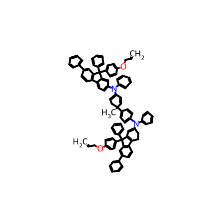 C=CCOc1ccc(C2(c3ccccc3)C3=C(CCC(N(c4ccccc4)c4ccc(C5(C)C=CC(N(c6ccccc6)c6ccc7c(c6)C(c6ccccc6)(c6ccc(OCC=C)cc6)c6cc(-c8ccccc8)ccc6-7)=CC5)cc4)=C3)c3ccc(-c4ccccc4)cc32)cc1